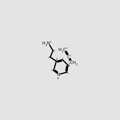 C=C=C.NCCc1cccnc1